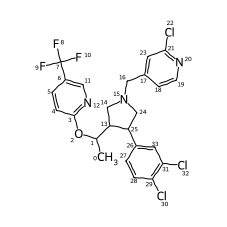 CC(Oc1ccc(C(F)(F)F)cn1)C1CN(Cc2ccnc(Cl)c2)CC1c1ccc(Cl)c(Cl)c1